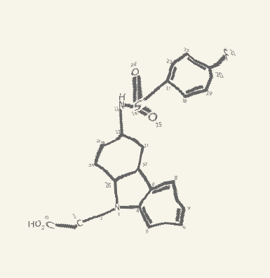 O=C(O)CCN1c2ccccc2C2CC(NS(=O)(=O)c3ccc(F)cc3)CCC21